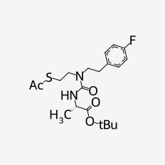 CC(=O)SCCN(CCc1ccc(F)cc1)C(=O)N[C@@H](C)C(=O)OC(C)(C)C